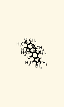 CC(=O)C1=C(C)CC2(C)C(C)C3(C)C(=C(C)C2(C)C1=O)C(=O)c1c(cc(C)c(C)c1C)C3C